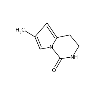 Cc1cc2n(c1)C(=O)NCC2